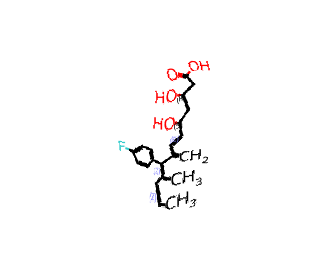 C=C(/C=C/[C@@H](O)C[C@@H](O)CC(=O)O)/C(=C(C)/C=C\C)c1ccc(F)cc1